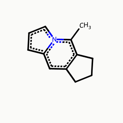 Cc1c2c(cc3cccn13)CCC2